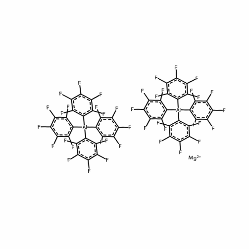 Fc1c(F)c(F)[c]([Al-]([c]2c(F)c(F)c(F)c(F)c2F)([c]2c(F)c(F)c(F)c(F)c2F)[c]2c(F)c(F)c(F)c(F)c2F)c(F)c1F.Fc1c(F)c(F)[c]([Al-]([c]2c(F)c(F)c(F)c(F)c2F)([c]2c(F)c(F)c(F)c(F)c2F)[c]2c(F)c(F)c(F)c(F)c2F)c(F)c1F.[Mg+2]